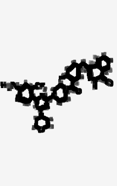 Nc1cc(C(F)(F)F)c(-c2nc(N3CCOCC3)nc(N3CCN(C(=O)c4cc(Cc5n[nH]c(=O)c6ccccc56)ccc4F)CC3)n2)cn1